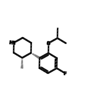 CC(C)Oc1cc(F)ccc1[C@H]1CCNC[C@H]1C